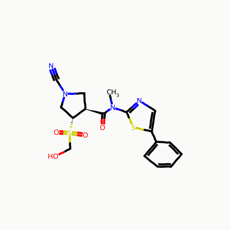 CN(C(=O)[C@@H]1CN(C#N)C[C@H]1S(=O)(=O)CO)c1ncc(-c2ccccc2)s1